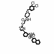 O=C(CSc1nc(-c2cccc(NS(=O)(=O)c3ccc4ccccc4c3)c2)cs1)NC1CCN(Cc2ccc(Cl)c(Cl)c2)CC1